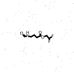 O=CNCCCC(=O)OCC(F)F